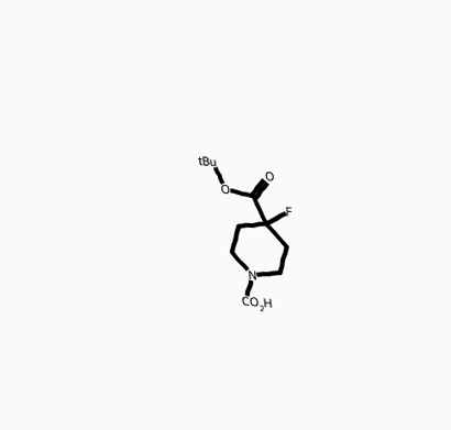 CC(C)(C)OC(=O)C1(F)CCN(C(=O)O)CC1